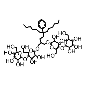 CCCCCCC(CCCCCC)(CCC(CO[C@H]1OC(CO)[C@H](O[C@@H]2OC(CO)[C@H](O)[C@@H](O)C2O)[C@@H](O)C1O)CO[C@H]1OC(CO)[C@H](O[C@@H]2OC(CO)[C@H](O)[C@@H](O)C2O)[C@@H](O)C1O)c1ccccc1